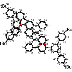 Cc1ccc(-n2c(-c3ccc4c(-c5ccccc5-c5ccc(-c6nc(-c7ccc(C(C)(C)C)cc7)nc(-c7ccc(C(C)(C)C)cc7)n6)cc5)c5ccccc5c(-c5ccccc5-c5ccc(-c6nc(-c7ccc(C(C)(C)C)cc7)nc(-c7ccc(C(C)(C)C)cc7)n6)cc5)c4c3)nc3ccccc32)cc1